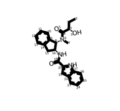 CC[C@H](O)C(=O)N(C)[C@H]1c2ccccc2C[C@H]1NC(=O)c1cc2ccccc2[nH]1